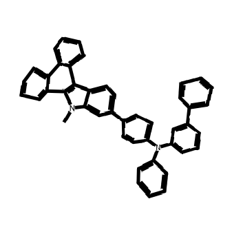 Cn1c2cc(-c3ccc(N(c4ccccc4)c4cccc(-c5ccccc5)c4)cc3)ccc2c2c3ccccc3c3ccccc3c21